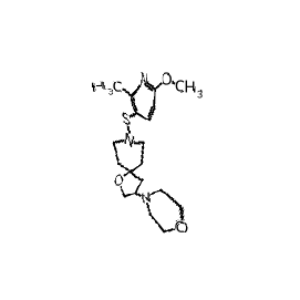 COc1ccc(SN2CCC3(CC2)CC(N2CCOCC2)CO3)c(C)n1